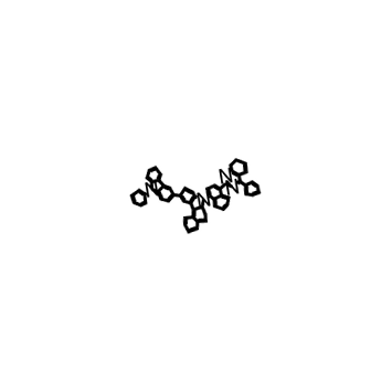 C1=Cc2c(nc(-c3ccc(N4c5ccc(-c6ccc7c(c6)c6ccccc6n7-c6ccccc6)cc5C5=c6ccccc6=CCC54)c4ccccc34)nc2-c2ccccc2)CC1